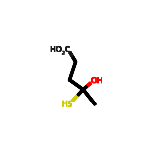 CC(O)(S)CCC(=O)O